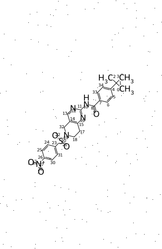 CC(C)(C)c1ccc(C(=O)Nc2ncc3c(n2)CCN(S(=O)(=O)c2ccc([N+](=O)[O-])cc2)C3)cc1